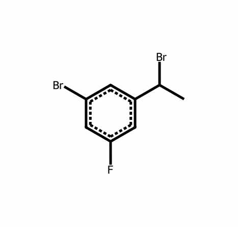 CC(Br)c1cc(F)cc(Br)c1